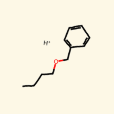 CCCCOCc1ccccc1.[H+]